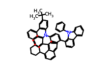 CC(C)(C)c1ccc(N(c2ccc(-c3cccc4c5ccccc5n(-c5ccccc5)c34)cc2)c2ccccc2-c2cccc3cccc(C4CCCCC4)c23)c(-c2ccccc2)c1